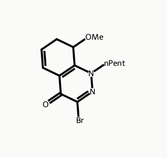 CCCCCn1nc(Br)c(=O)c2c1C(OC)CC=C2